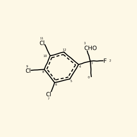 CC(F)(C=O)c1cc(Cl)c(Cl)c(Cl)c1